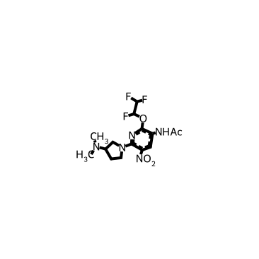 CC(=O)Nc1cc([N+](=O)[O-])c(N2CCC(N(C)C)C2)nc1OC(F)C(F)F